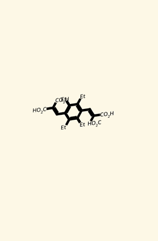 CCc1c(C=C(C(=O)O)C(=O)O)c(CC)c(CC)c(C=C(C(=O)O)C(=O)O)c1CC